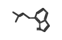 CC(C)=CCc1cccc2cc[nH]c12